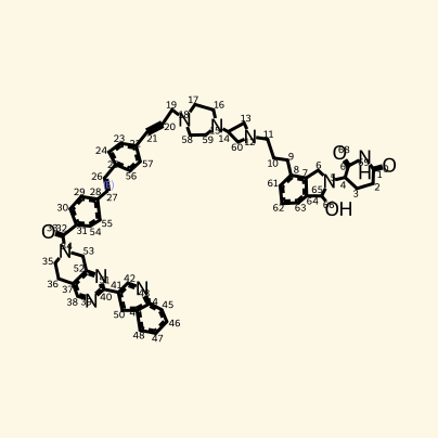 O=C1CCC(N2Cc3c(CCCN4CC(N5CCN(CC#Cc6ccc(/C=C/c7ccc(C(=O)N8CCc9cnc(-c%10cnc%11ccccc%11c%10)nc9C8)cc7)cc6)CC5)C4)cccc3C2O)C(=O)N1